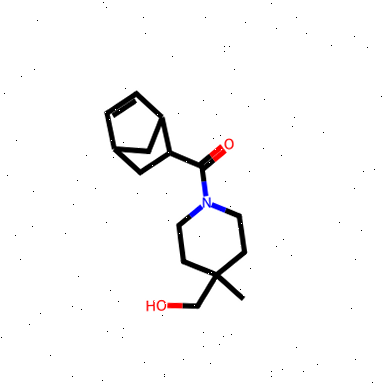 CC1(CO)CCN(C(=O)C2CC3C=CC2C3)CC1